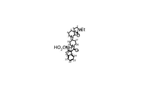 CCN1CCC2(CCCN(C3CCN(C(=O)c4c(NC(=O)O)sc5ccccc45)CC3)C2)C1=O